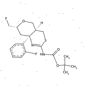 CC(C)(C)OC(=O)NC1=N[C@@]2(c3ccccc3F)C[C@H](CF)OC[C@H]2CS1